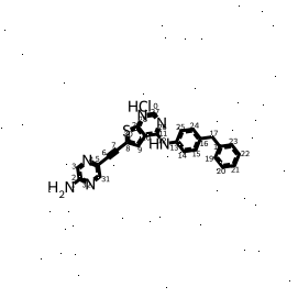 Cl.Nc1cnc(C#Cc2cc3c(Nc4ccc(Cc5ccccc5)cc4)ncnc3s2)cn1